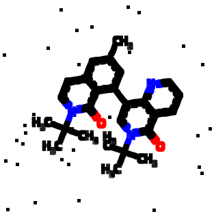 Cc1cc(-c2cn(C(C)(C)C)c(=O)c3cccnc23)c2c(=O)n(C(C)(C)C)ccc2c1